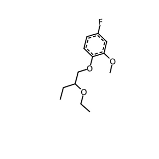 CCOC(CC)COc1ccc(F)cc1OC